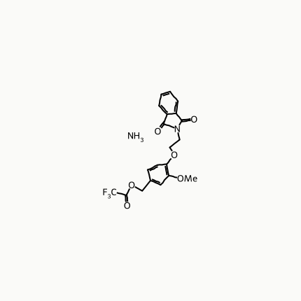 COc1cc(COC(=O)C(F)(F)F)ccc1OCCN1C(=O)c2ccccc2C1=O.N